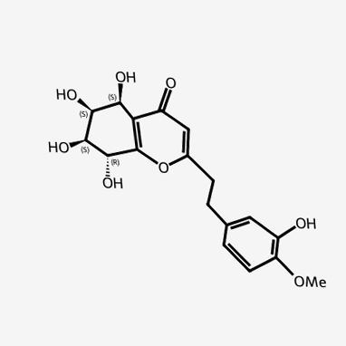 COc1ccc(CCc2cc(=O)c3c(o2)[C@H](O)[C@@H](O)[C@@H](O)[C@H]3O)cc1O